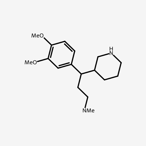 CNCCC(c1ccc(OC)c(OC)c1)C1CCCNC1